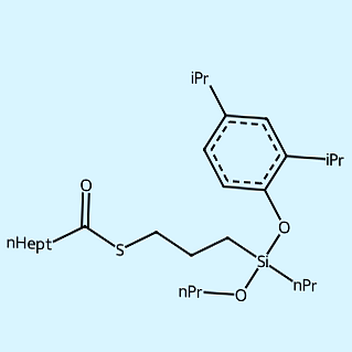 CCCCCCCC(=O)SCCC[Si](CCC)(OCCC)Oc1ccc(C(C)C)cc1C(C)C